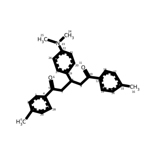 Cc1ccc(C(=O)CC(CC(=O)c2ccc(C)cc2)c2ccc(N(C)C)cc2)cc1